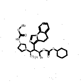 CC(C)C(OC(=O)OC1CCCCC1)C(c1ncn2c1CCc1ccccc1-2)[C@@H](C(=O)O)N1CC[C@H](NC(=O)OC(C)(C)C)C1